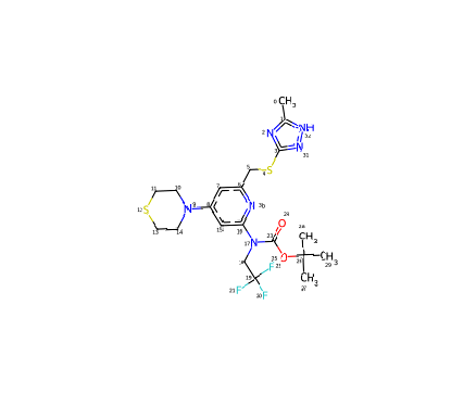 Cc1nc(SCc2cc(N3CCSCC3)cc(N(CC(F)(F)F)C(=O)OC(C)(C)C)n2)n[nH]1